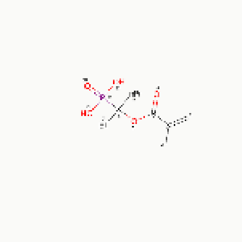 C=C(C)C(=O)OC(CC)(CCC)P(=O)(O)O